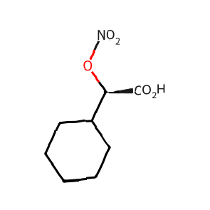 O=C(O)[C@H](O[N+](=O)[O-])C1CCCCC1